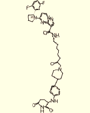 O=C(CCCCCCNC(=O)c1cnn2ccc(N3CCC[C@@H]3c3cc(F)ccc3F)nc12)CN1CCC(c2ccc(NC3CCC(=O)NC3=O)cc2)CC1